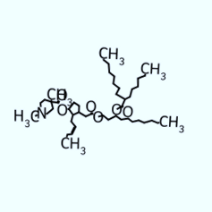 CC/C=C\CC1C(CC(=O)OCCC(CCCCCCCC)OC(=O)C(CCCCCC)CCCCCCCC)CCC1OC(=O)C1(C)CCN(C)CC1